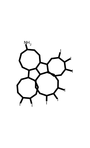 NC1CCCC(C2CCCC(I)C(I)CCC2)C(C2CCCC(I)C(I)C(I)CCC2)C(C2CCCC(I)C(I)C(I)C2)CC1